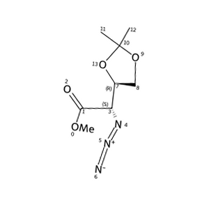 COC(=O)[C@@H](N=[N+]=[N-])[C@@H]1COC(C)(C)O1